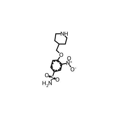 NS(=O)(=O)c1ccc(OCC2CCNCC2)c([N+](=O)[O-])c1